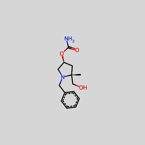 C[C@]1(CO)C[C@H](OC(N)=O)CN1Cc1ccccc1